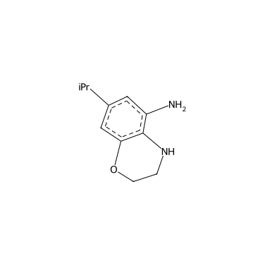 CC(C)c1cc(N)c2c(c1)OCCN2